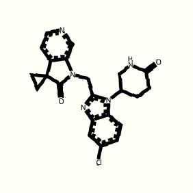 O=C1CCC(n2c(CN3C(=O)C4(CC4)c4ccncc43)nc3cc(Cl)ccc32)CN1